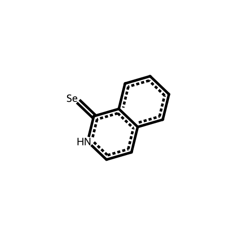 [Se]=c1[nH]ccc2ccccc12